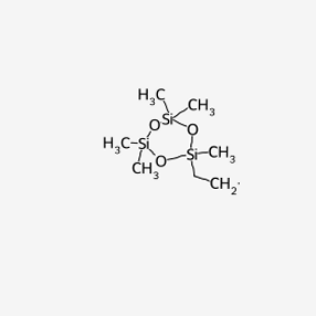 [CH2]C[Si]1(C)O[Si](C)(C)O[Si](C)(C)O1